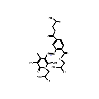 CCCCC(CC)COC(=O)c1ccc(C(=O)OCC(CC)CCCC)c(/N=N/c2c(C)c(C#N)c(=O)n(CC(CC)CCCC)c2O)c1